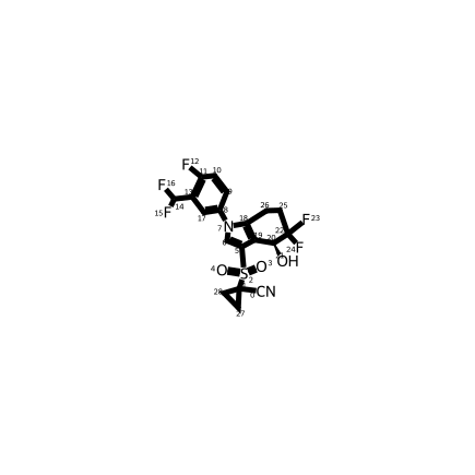 N#CC1(S(=O)(=O)c2cn(-c3ccc(F)c(C(F)F)c3)c3c2[C@H](O)C(F)(F)CC3)CC1